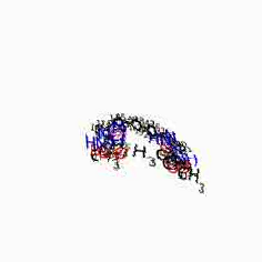 COC(=O)NC(C(=O)N1CCCC1c1ccc(-c2ccc(-c3ccc(-c4cnc([C@@H]5CCCN5C(=O)[C@@H](NC(=O)OC)C(C)C)[nH]4)cc3)cc2)[nH]1)C1CCOCC1